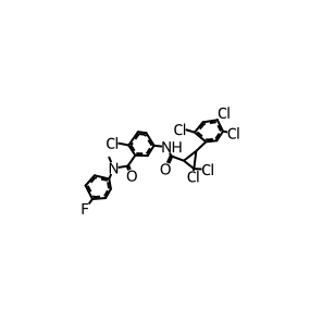 CN(C(=O)c1cc(NC(=O)C2C(c3cc(Cl)c(Cl)cc3Cl)C2(Cl)Cl)ccc1Cl)c1ccc(F)cc1